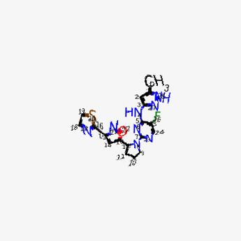 Cc1cc(Nc2nc(N3CCCC3c3cc(-c4nccs4)no3)ncc2F)n[nH]1